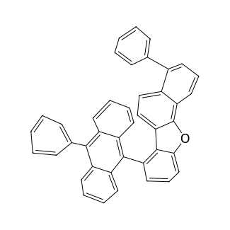 c1ccc(-c2c3ccccc3c(-c3cccc4oc5c6cccc(-c7ccccc7)c6ccc5c34)c3ccccc23)cc1